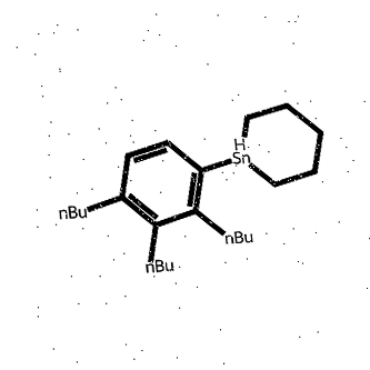 CCCCc1cc[c]([SnH]2[CH2]CCC[CH2]2)c(CCCC)c1CCCC